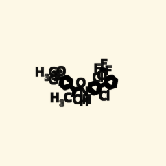 C[C@@H](O)C(C(=O)Nc1cc(Cl)c(-c2ccccc2OC(F)(F)F)c(Cl)c1)c1ccc(S(C)(=O)=O)cc1